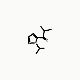 CC(C)C(=O)c1ccnn1C(C)C